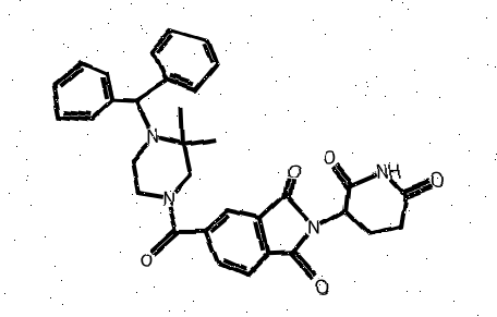 CC1(C)CN(C(=O)c2ccc3c(c2)C(=O)N(C2CCC(=O)NC2=O)C3=O)CCN1C(c1ccccc1)c1ccccc1